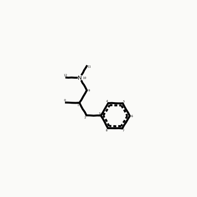 CC(Cc1ccccc1)CN(C)C